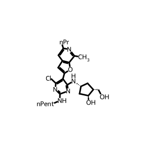 CCCCCNc1nc(Cl)c(-c2cc3cc(CCC)nc(C)c3o2)c(N[C@@H]2C[C@H](CO)[C@@H](O)C2)n1